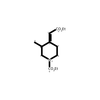 CCOC(=O)C=C1CCN(C(=O)OCC)CC1C